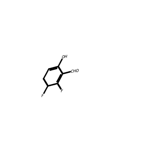 O=CC1=C(F)C(F)CC=C1O